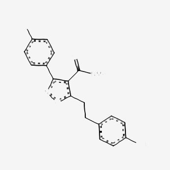 CNC(=O)c1c(-c2ccc(F)cc2)noc1CCc1ccc(O)cc1